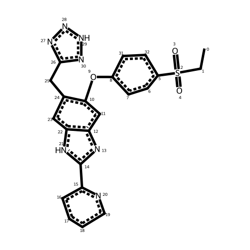 CCS(=O)(=O)c1ccc(Oc2cc3nc(-c4ccccn4)[nH]c3cc2Cc2nn[nH]n2)cc1